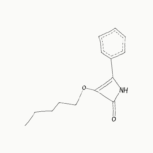 CCCCCOC1=C(c2ccccc2)NC1=O